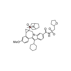 COc1ccc2c(c1)C1CC1(C(=O)N1C3CCC1CN(C)C3)Cn1c-2c(C2CCCCC2)c2ccc(C(=O)NS(=O)(=O)CC3CCCO3)cc21